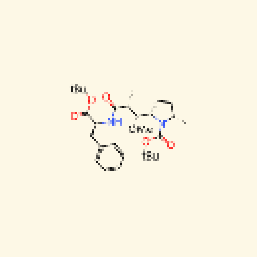 CO[C@H]([C@@H](C)C(=O)N[C@@H](Cc1ccccc1)C(=O)OC(C)(C)C)[C@@H]1CC[C@H](C)N1C(=O)OC(C)(C)C